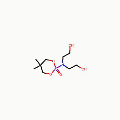 CC1(C)COP(=O)(N(CCO)CCO)OC1